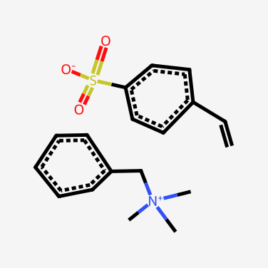 C=Cc1ccc(S(=O)(=O)[O-])cc1.C[N+](C)(C)Cc1ccccc1